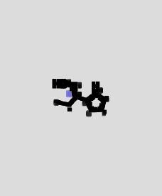 CC/C(=N\O)c1ccc[nH]1